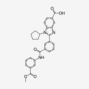 COC(=O)c1cccc(NC(=O)c2cccc(-c3nc4cc(C(=O)O)ccc4n3C3CCCC3)c2)c1